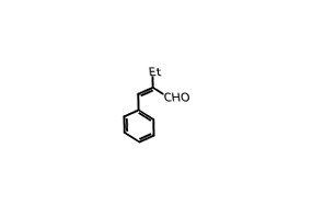 CCC(C=O)=Cc1ccccc1